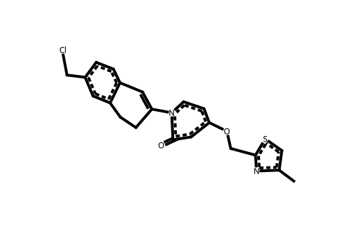 Cc1csc(COc2ccn(C3=Cc4ccc(CCl)cc4CC3)c(=O)c2)n1